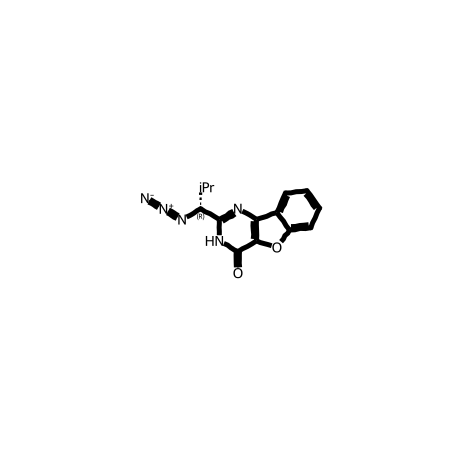 CC(C)[C@@H](N=[N+]=[N-])c1nc2c(oc3ccccc32)c(=O)[nH]1